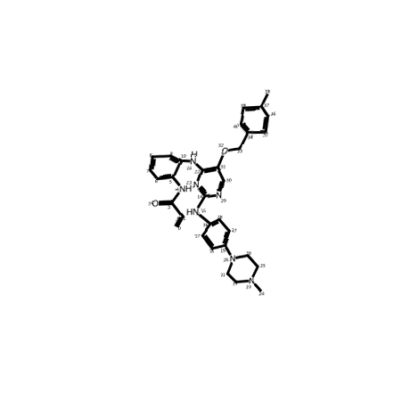 C=CC(=O)Nc1ccccc1Nc1nc(Nc2ccc(N3CCN(C)CC3)cc2)ncc1OCc1ccc(C)cc1